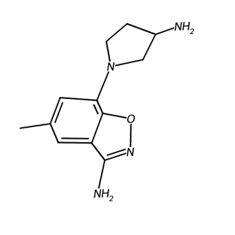 Cc1cc(N2CCC(N)C2)c2onc(N)c2c1